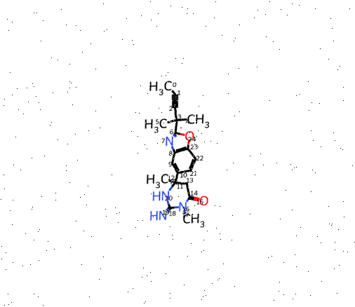 CC#CC(C)(C)c1nc2cc([C@]3(C)CC(=O)N(C)C(=N)N3)ccc2o1